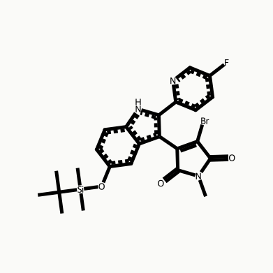 CN1C(=O)C(Br)=C(c2c(-c3ccc(F)cn3)[nH]c3ccc(O[Si](C)(C)C(C)(C)C)cc23)C1=O